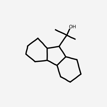 CC(C)(O)C1C2CCCCC2C2CCCCC21